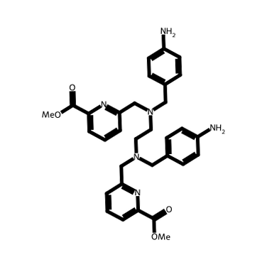 COC(=O)c1cccc(CN(CCN(Cc2ccc(N)cc2)Cc2cccc(C(=O)OC)n2)Cc2ccc(N)cc2)n1